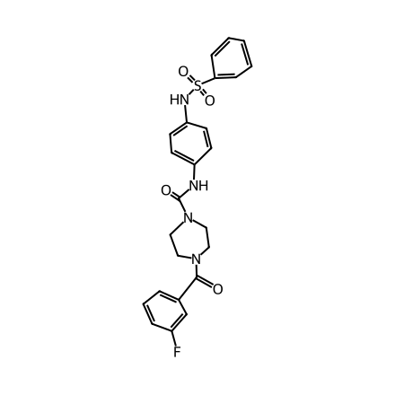 O=C(Nc1ccc(NS(=O)(=O)c2ccccc2)cc1)N1CCN(C(=O)c2cccc(F)c2)CC1